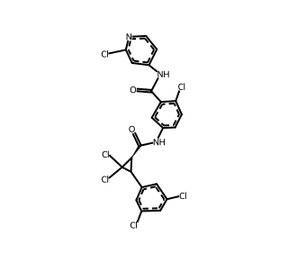 O=C(Nc1ccnc(Cl)c1)c1cc(NC(=O)[C@H]2C(c3cc(Cl)cc(Cl)c3)C2(Cl)Cl)ccc1Cl